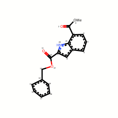 COC(=O)c1cccc2cc(C(=O)OCc3ccccc3)[nH]c12